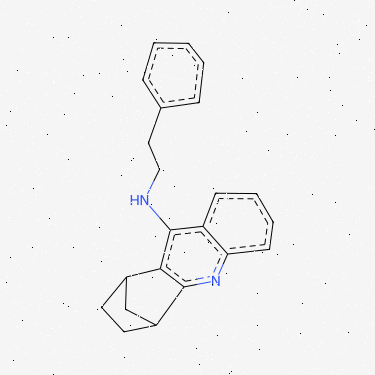 c1ccc(CCNc2c3c(nc4ccccc24)C2CCC3C2)cc1